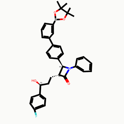 CC1(C)OB(c2cccc(-c3ccc([C@@H]4[C@@H](CC[C@H](O)c5ccc(F)cc5)C(=O)N4c4ccccc4)cc3)c2)OC1(C)C